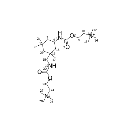 CC1(C)CC(NC(=O)OCC[N+](C)(C)C)CC(C)(CNC(=O)OCC[N+](C)(C)C)C1